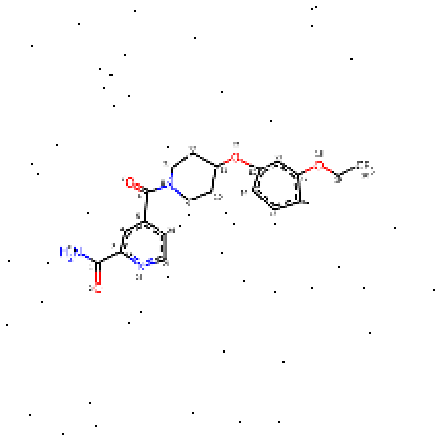 NC(=O)c1cc(C(=O)N2CCC(Oc3cccc(OCC(F)(F)F)c3)CC2)ccn1